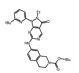 CCn1c(=O)c2cnc(Nc3ccc4c(c3)CN(C(=O)OC(C)(C)C)CC4)nc2n1-c1cccc(C(C)(C)C)n1